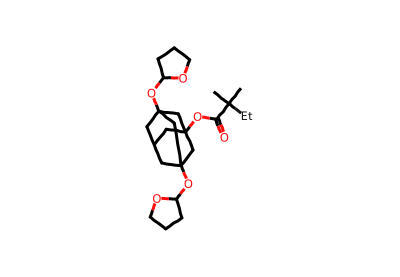 CCC(C)(C)C(=O)OC12CC3CC(OC4CCCO4)(C1)CC(OC1CCCO1)(C3)C2